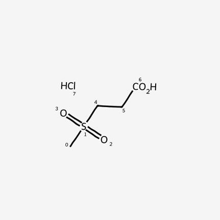 CS(=O)(=O)CCC(=O)O.Cl